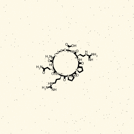 N=C(N)NCCC[C@H]1NC(=O)[C@H](CCC(N)=O)NC(=O)[C@@H](N)CSSC[C@H](C(=O)O)NC(=O)[C@@H](CCNC(=N)N)NC(=O)C2=CCCN2C(=O)[C@H]2CCCN2C1=O